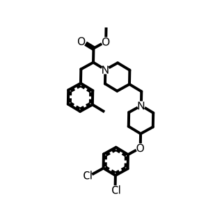 COC(=O)C(Cc1cccc(C)c1)N1CCC(CN2CCC(Oc3ccc(Cl)c(Cl)c3)CC2)CC1